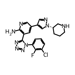 Nc1ncc(-c2cnn([C@H]3CCCNC3)c2)cc1-c1nnnn1-c1cccc(Cl)c1F